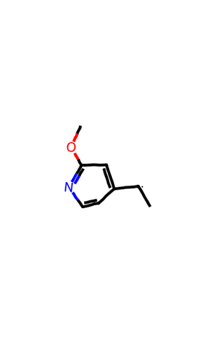 C[CH]c1ccnc(OC)c1